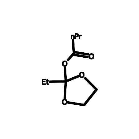 CCCC(=O)OC1(CC)OCCO1